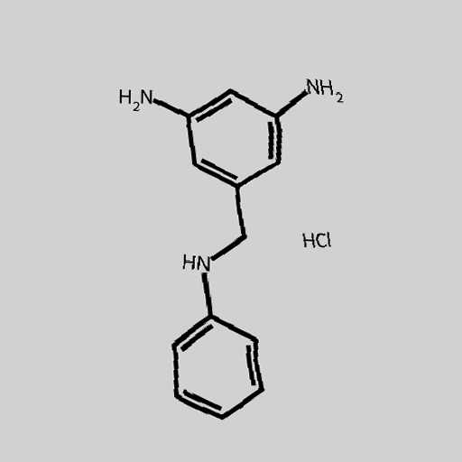 Cl.Nc1cc(N)cc(CNc2ccccc2)c1